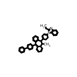 CCc1nc2ccccc2n1C1=CC=C(C2c3ccccc3C(c3ccc(-c4ccccc4)cc3)=C3C=CC=CC3C2C)CC1